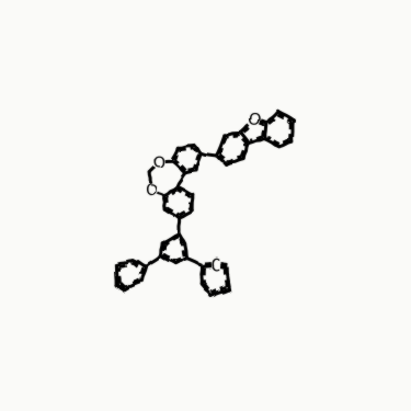 c1ccc(-c2cc(-c3ccccc3)cc(-c3ccc4c(c3)OCOc3ccc(-c5ccc6c(c5)oc5ccccc56)cc3-4)c2)cc1